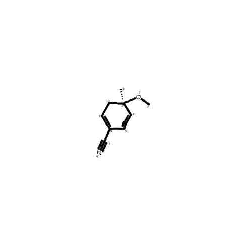 CO[C@@]1(C)C=CC(C#N)=CC1